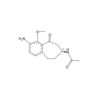 COc1c(N)ccc2c1C(=O)C[C@@H](NC(C)=O)CC2